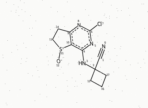 N#CC1(Nc2nc(Cl)nc3c2[S+]([O-])CC3)CCC1